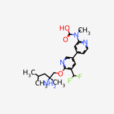 CC(C)C[C@@](C)(N)COc1ncc(-c2ccnc(N(C)C(=O)O)c2)cc1C(F)F